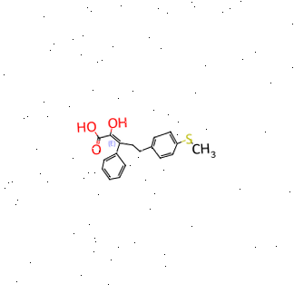 CSc1ccc(CC/C(=C(\O)C(=O)O)c2ccccc2)cc1